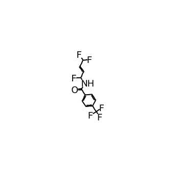 O=C(NC(F)C=CC(F)F)c1ccc(C(F)(F)F)cc1